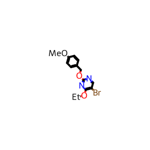 CCOc1nc(OCc2ccc(OC)cc2)ncc1Br